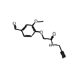 C#CCNC(=O)COc1ccc(C=O)cc1OC